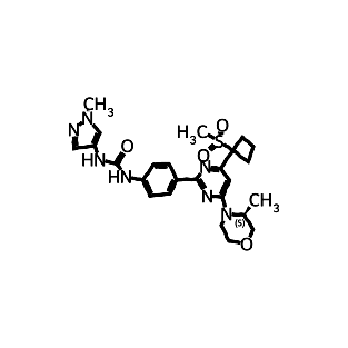 C[C@H]1COCCN1c1cc(C2(S(C)(=O)=O)CCC2)nc(-c2ccc(NC(=O)Nc3cnn(C)c3)cc2)n1